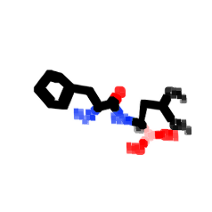 CC(C)C[C@H](NC(=O)C(N)Cc1ccccc1)B(O)O